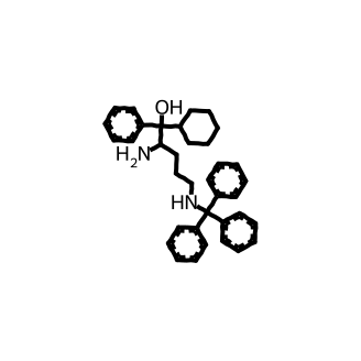 NC(CCCNC(c1ccccc1)(c1ccccc1)c1ccccc1)C(O)(c1ccccc1)C1CCCCC1